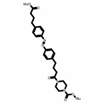 COC(=O)CCCc1ccc(N=Nc2ccc(CCCC(=O)N3CCN(C(=O)OC(C)(C)C)CC3)cc2)cc1